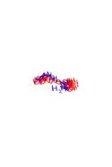 Nc1ncnc2c1ncn2C1OC(COP(=O)(O)OP(=O)(O)OP(=O)(O)SC2CC(=O)N(CCC(=O)NCCOCCOCCCNC(CCCCNc3ccc([N+](=O)[O-])cc3[N+](=O)[O-])C(=O)O)C2=O)C(O)C1O